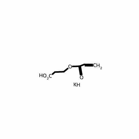 C=CC(=O)OCCC(=O)O.[KH]